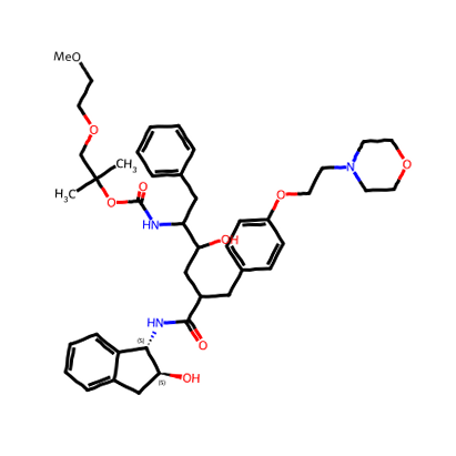 COCCOCC(C)(C)OC(=O)NC(Cc1ccccc1)C(O)CC(Cc1ccc(OCCN2CCOCC2)cc1)C(=O)N[C@H]1c2ccccc2C[C@@H]1O